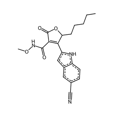 CCCCCC1OC(=O)C(C(=O)NOC)=C1c1cc2cc(C#N)ccc2[nH]1